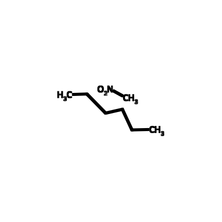 CCCCCC.C[N+](=O)[O-]